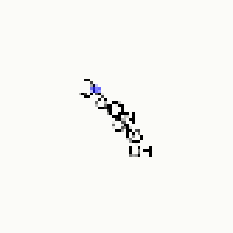 CC/C(=C\F)COc1ccc2nc(N3CCC(O)C3)oc2c1